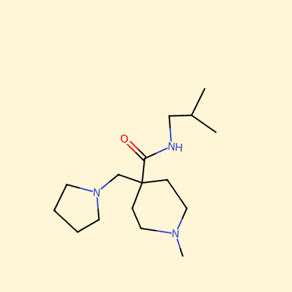 CC(C)CNC(=O)C1(CN2CCCC2)CCN(C)CC1